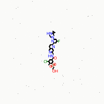 Cc1c(Cl)cc(C(=O)NCc2cc3nc(-c4cc(F)cc(N5CCNC6(CC6)C5)n4)ccc3cn2)cc1S(=O)(=O)CCO